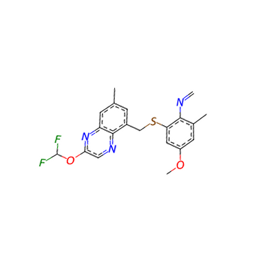 C=Nc1c(C)cc(OC)cc1SCc1cc(C)cc2nc(OC(F)F)cnc12